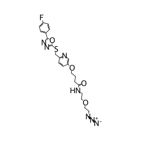 [N-]=[N+]=NCCOCCNC(=O)CCCOc1ccc(CSc2nnc(-c3ccc(F)cc3)o2)nc1